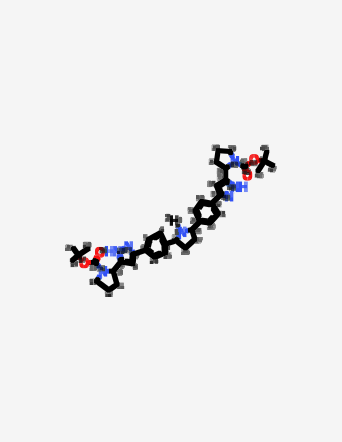 [2H]N1C(c2ccc(-c3cc(C4CCCN4C(=O)OC(C)(C)C)[nH]n3)cc2)CCC1c1ccc(-c2cc(C3CCCN3C(=O)OC(C)(C)C)[nH]n2)cc1